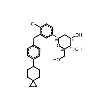 OC[C@H]1O[C@H](c2ccc(Cl)c(Cc3ccc(C4CCC5(CC4)CC5)cc3)c2)C[C@@H](O)[C@@H]1O